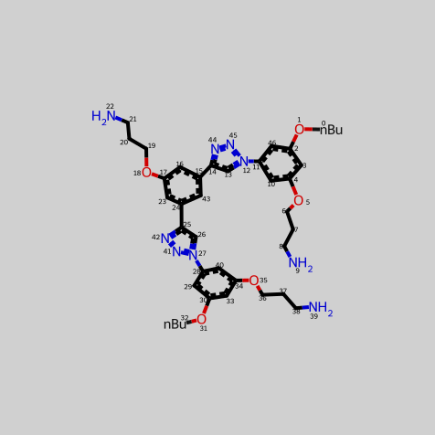 CCCCOc1cc(OCCCN)cc(-n2cc(-c3cc(OCCCN)cc(-c4cn(-c5cc(OCCCC)cc(OCCCN)c5)nn4)c3)nn2)c1